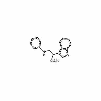 O=C(O)C(CNc1ccccc1)c1csc2ccccc12